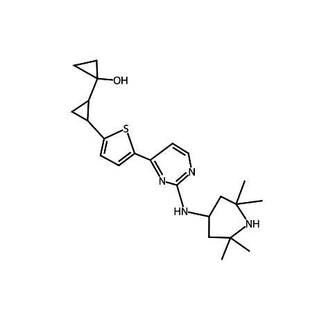 CC1(C)CC(Nc2nccc(-c3ccc(C4CC4C4(O)CC4)s3)n2)CC(C)(C)N1